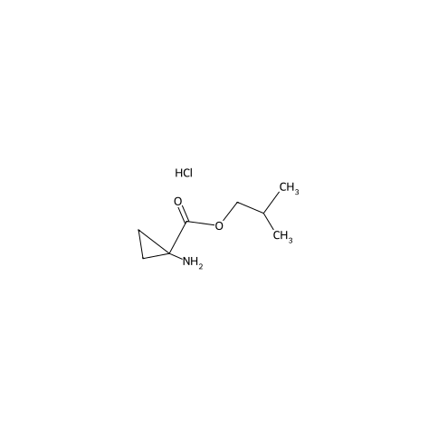 CC(C)COC(=O)C1(N)CC1.Cl